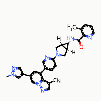 Cn1cc(-c2cc(-c3ccc(N4C[C@@H]5[C@H](C4)[C@H]5NC(=O)c4ncccc4C(F)(F)F)nc3)c3c(C#N)cnn3c2)cn1